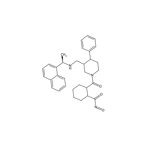 C[C@@H](NCC1CN(C(=O)C2CCCCC2C(=O)N=O)CCC1c1ccccc1)c1cccc2ccccc12